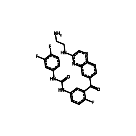 NCCNc1cnc2ccc(C(=O)c3cc(NC(=O)Nc4ccc(F)c(F)c4)ccc3F)cc2n1